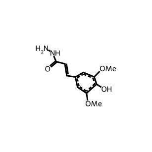 COc1cc(C=CC(=O)NN)cc(OC)c1O